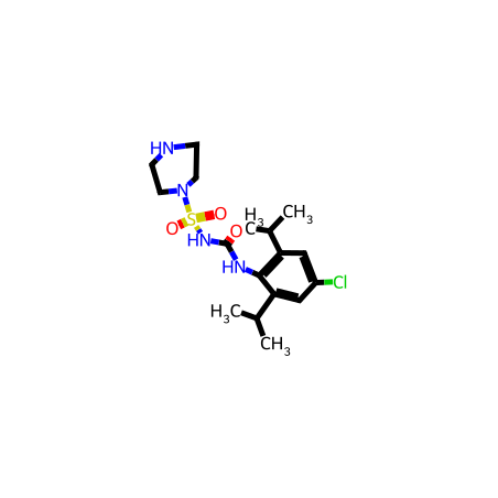 CC(C)c1cc(Cl)cc(C(C)C)c1NC(=O)NS(=O)(=O)N1CCNCC1